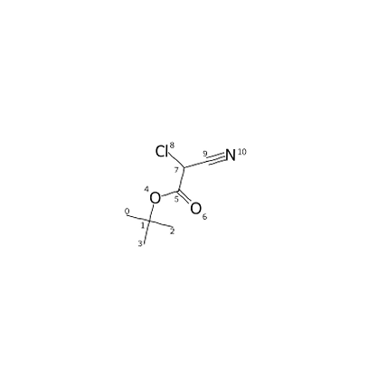 CC(C)(C)OC(=O)C(Cl)C#N